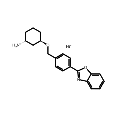 Cl.N[C@@H]1CCC[C@@H](OCc2ccc(-c3nc4ccccc4o3)cc2)C1